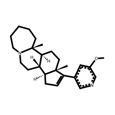 COc1cncc(C2=CC[C@H]3[C@@H]4CCN5CCCCC[C@]5(C)[C@H]4CC[C@]23C)c1